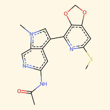 CSc1cc2c(c(-c3cn(C)c4cnc(NC(C)=O)cc34)n1)OCO2